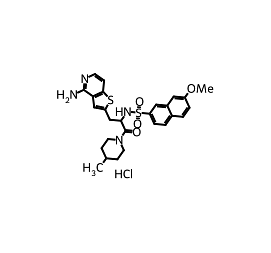 COc1ccc2ccc(S(=O)(=O)NC(Cc3cc4c(N)nccc4s3)C(=O)N3CCC(C)CC3)cc2c1.Cl